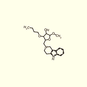 CCCCOC1C(CN2CCc3[nH]c4ccccc4c3C2)OC(OC)C1O